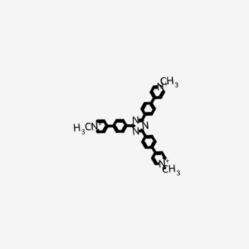 C[n+]1ccc(-c2ccc(-c3nc(-c4ccc(-c5cc[n+](C)cc5)cc4)nc(-c4ccc(-c5cc[n+](C)cc5)cc4)n3)cc2)cc1